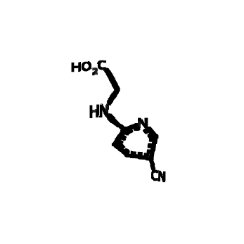 N#Cc1ccc(NCC(=O)O)nc1